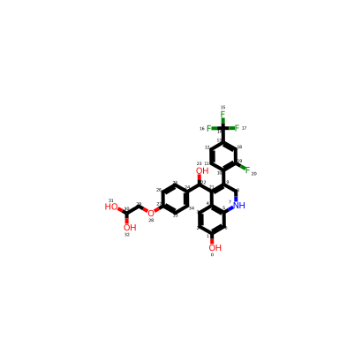 Oc1ccc2c(c1)NCC(c1ccc(C(F)(F)F)cc1F)=C2C(O)c1ccc(OCC(O)O)cc1